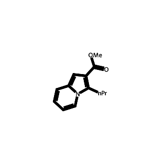 CCCc1c(C(=O)OC)cc2ccccn12